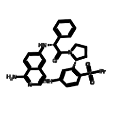 CC(=O)Nc1ccc(S(=O)(=O)C(C)C)c([C@H]2CCCN2C(=O)[C@H](Nc2ccc3c(N)nccc3c2)c2ccccc2)c1